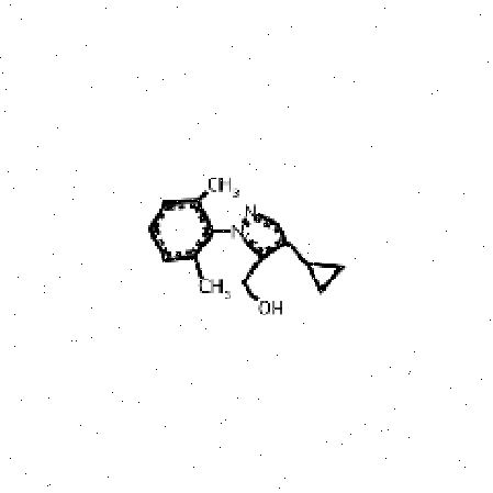 Cc1cccc(C)c1-n1ncc(C2CC2)c1CO